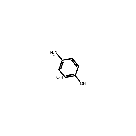 Nc1ccc(O)cc1.[NaH]